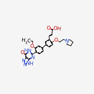 CCOc1cc(-c2ccc(OCCN3CCCC3)c(/C=C/C(=O)O)c2)ccc1-c1nc2[nH]nnc2c(=O)[nH]1